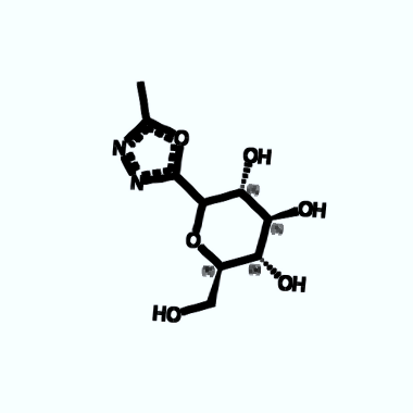 Cc1nnc(C2O[C@H](CO)[C@@H](O)[C@H](O)[C@H]2O)o1